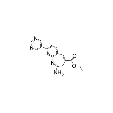 CCOC(=O)C1=Cc2ccc(-c3cncnc3)cc2N=C(N)C1